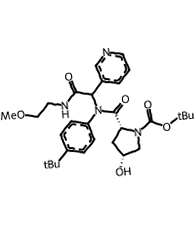 COCCNC(=O)C(c1cccnc1)N(C(=O)[C@H]1C[C@@H](O)CN1C(=O)OC(C)(C)C)c1ccc(C(C)(C)C)cc1